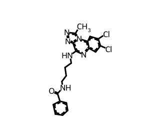 Cc1nnc2c(NCCCCNC(=O)c3ccccc3)nc3cc(Cl)c(Cl)cc3n12